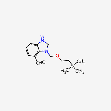 C[Si](C)(C)CCOCN1CNc2cccc(C=O)c21